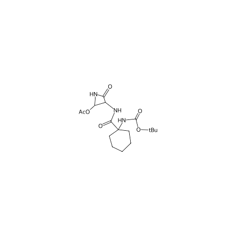 CC(=O)OC1NC(=O)C1NC(=O)C1(NC(=O)OC(C)(C)C)CCCCC1